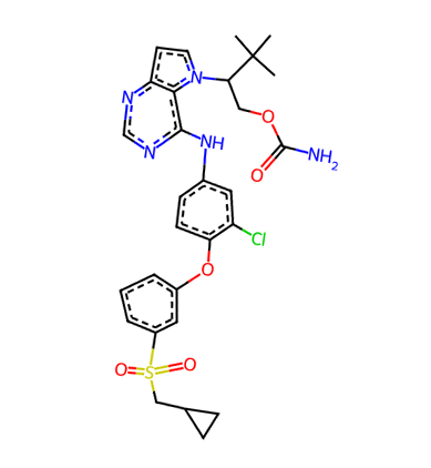 CC(C)(C)C(COC(N)=O)n1ccc2ncnc(Nc3ccc(Oc4cccc(S(=O)(=O)CC5CC5)c4)c(Cl)c3)c21